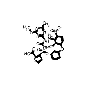 COc1nc(C)nc(NC(=O)NS(=O)(=O)c2ccsc2C(=O)O)n1.Nc1c([N+](=O)[O-])ccc(Oc2ccccc2)c1Cl